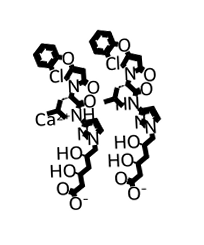 CC(C)C[C@@H](C(=O)Nc1ccn(C[C@@H](O)C[C@@H](O)CC(=O)[O-])n1)N1CC(Oc2ccccc2Cl)=CC1=O.CC(C)C[C@@H](C(=O)Nc1ccn(C[C@@H](O)C[C@@H](O)CC(=O)[O-])n1)N1CC(Oc2ccccc2Cl)=CC1=O.[Ca+2]